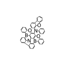 c1ccc(N(c2c3c4c5c6c2Oc2ccccc2B6c2cccc6c7cccc(c7n-5c26)B4c2ccccc2O3)c2cccc3c2oc2ccccc23)cc1